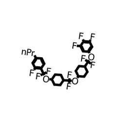 CCCc1ccc(C(F)(F)OC2CCC(C(F)(F)OC3CCC(C(F)(F)Oc4cc(F)c(F)c(F)c4)CC3)CC2)c(F)c1